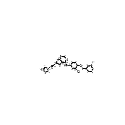 Fc1cccc(COc2ccc(Nc3ncnc4sc(C#Cc5cn[nH]c5)cc34)cc2Cl)c1